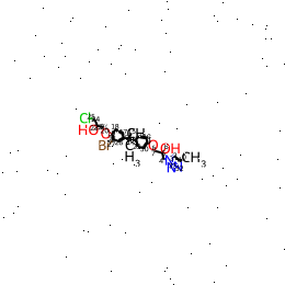 Cc1cn(C[C@H](O)COc2ccc(C(C)(C)c3ccc(OC[C@H](O)CCl)c(Br)c3)cc2)nn1